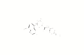 C=C(NC1CCN(C)CC1)C1CC(C)CN(c2ccc(Br)c3ncccc23)C1